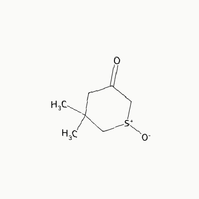 CC1(C)CC(=O)C[S+]([O-])C1